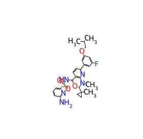 CC(C)COc1cc(F)cc(-c2ccc(C(=O)NS(=O)(=O)c3cccc(N)n3)c(N(C)CC3(C)CC3)n2)c1